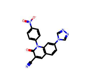 N#Cc1cc2ccc(-n3cnnc3)cc2n(-c2ccc([N+](=O)[O-])cc2)c1=O